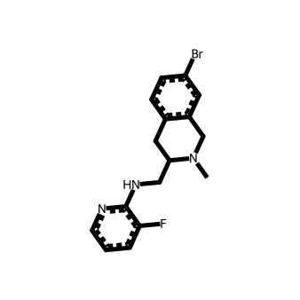 CN1Cc2cc(Br)ccc2CC1CNc1ncccc1F